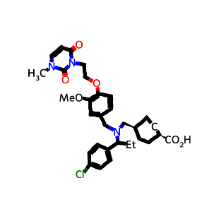 CCC(c1ccc(Cl)cc1)N(Cc1ccc(OCCn2c(=O)ccn(C)c2=O)c(OC)c1)C[C@H]1CC[C@H](C(=O)O)CC1